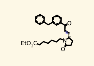 CCOC(=O)CCCCCCN1C(=O)CC[C@@H]1/C=C/C(=O)c1cccc(Cc2ccccc2)c1